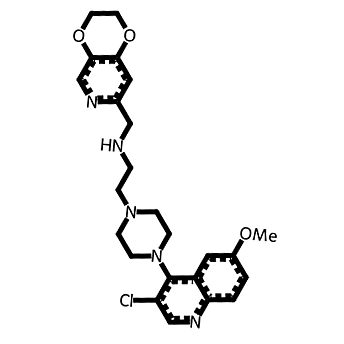 COc1ccc2ncc(Cl)c(N3CCN(CCNCc4cc5c(cn4)OCCO5)CC3)c2c1